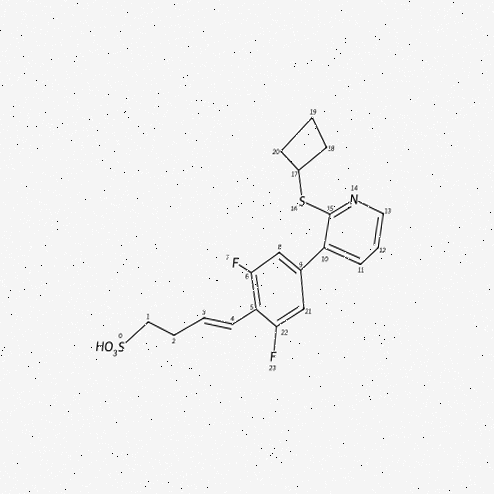 O=S(=O)(O)CC/C=C/c1c(F)cc(-c2cccnc2SC2CCC2)cc1F